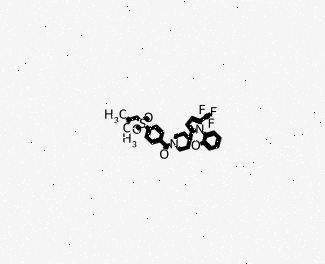 CC(C)CS(=O)(=O)c1ccc(C(=O)N2CCC3(CC2)Oc2ccccc2-n2c(C(F)(F)F)ccc23)cc1